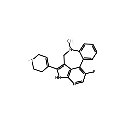 CN1Cc2c(C3=CCNCC3)[nH]c3ncc(F)c(c23)-c2ccccc21